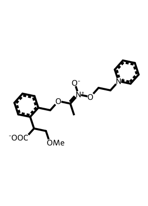 COCC(C(=O)[O-])c1ccccc1CO/C(C)=[N+](\[O-])OCC[n+]1ccccc1